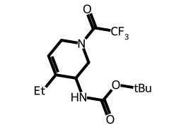 CCC1=CCN(C(=O)C(F)(F)F)CC1NC(=O)OC(C)(C)C